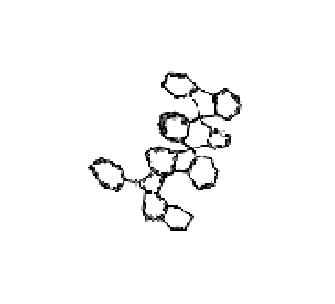 C1=CC2=C(CC1)C1(c3ccccc32)c2ccccc2C2(C3=C(C=CCC3)c3c2ccc2c3c3c4c(ccc3n2-c2ccccc2)C=CCC4)c2ccccc21